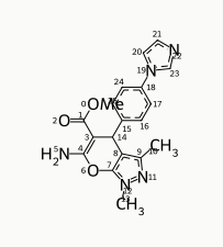 COC(=O)C1=C(N)Oc2c(c(C)nn2C)C1c1ccc(-n2ccnc2)cc1